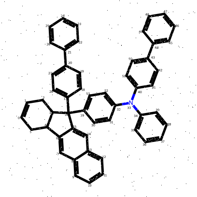 C1=CCC2C(C1)c1cc3ccccc3cc1C2(c1ccc(-c2ccccc2)cc1)c1ccc(N(c2ccccc2)c2ccc(-c3ccccc3)cc2)cc1